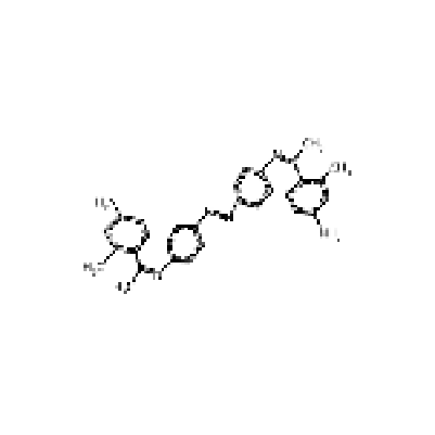 CC(=Nc1ccc(N=Nc2ccc(N=C(C)c3ccc(N)cc3C)cc2)cc1)c1ccc(N)cc1C